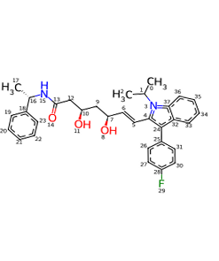 CC(C)n1c(/C=C/[C@@H](O)C[C@@H](O)CC(=O)N[C@@H](C)c2ccccc2)c(-c2ccc(F)cc2)c2ccccc21